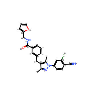 Cc1nn(-c2ccc(C#N)c(Cl)c2)c(C)c1Cc1cccc(C(=O)NCc2ccco2)c1